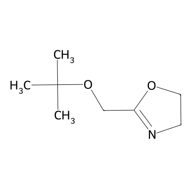 CC(C)(C)OCC1=NCCO1